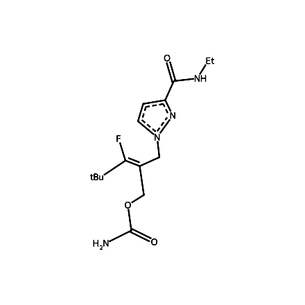 CCNC(=O)c1ccn(CC(COC(N)=O)=C(F)C(C)(C)C)n1